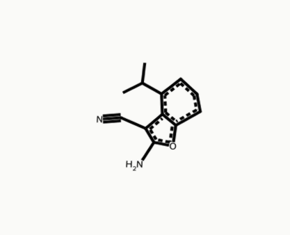 CC(C)c1cccc2oc(N)c(C#N)c12